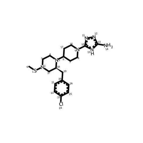 CSN1CCN(C2CCN(c3nnc(N)[nH]3)CC2)[C@@H](Cc2ccc(Cl)cc2)C1